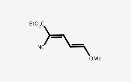 CCOC(=O)C(C#N)=CC=COC